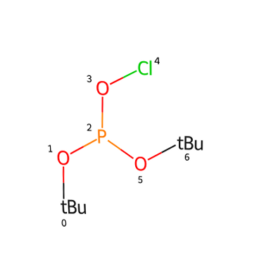 CC(C)(C)OP(OCl)OC(C)(C)C